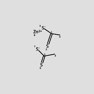 CC(=S)[S-].CC(=S)[S-].[Zn+2]